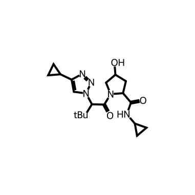 CC(C)(C)C(C(=O)N1CC(O)CC1C(=O)NC1CC1)n1cc(C2CC2)nn1